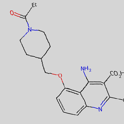 CCC(=O)N1CCC(COc2cccc3nc(C)c(C(=O)O)c(N)c23)CC1